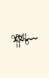 CCCCCC(=O)NCC(=O)NC(C)C(=O)P